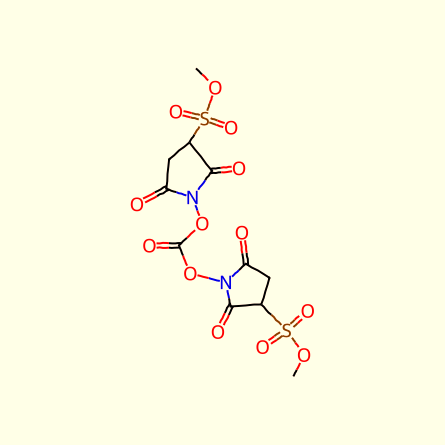 COS(=O)(=O)C1CC(=O)N(OC(=O)ON2C(=O)CC(S(=O)(=O)OC)C2=O)C1=O